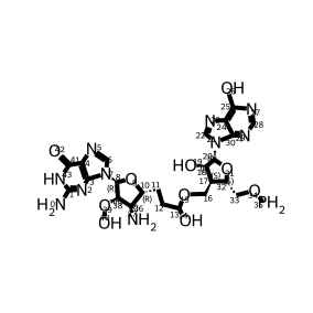 Nc1nc2c(ncn2[C@@H]2O[C@H](CCC(O)OC[C@H]3[C@@H](O)[C@H](n4cnc5c(O)ncnc54)O[C@@H]3COP)[C@@H](N)[C@H]2OO)c(=O)[nH]1